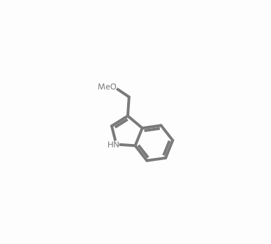 [CH2]OCc1c[nH]c2ccccc12